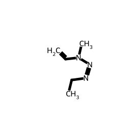 C=CN(C)/N=N\CC